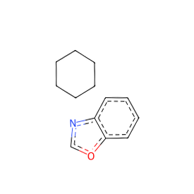 C1CCCCC1.c1ccc2ocnc2c1